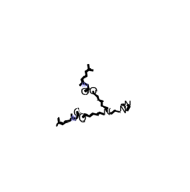 CC(C)=CCC/C(C)=C/C(=O)OCCCCCCN(CCCCCCOC(=O)/C=C(\C)CCC=C(C)C)CCCn1ccnc1